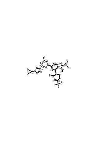 C[C@H]1CN(c2nc(-c3ccc(C(F)(F)F)cc3F)c3c(n2)nc(N(C)C)n3C)C[C@@H](c2cnn(C3CC3)c2)O1